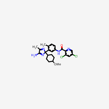 COC1CCC(C2(c3cc(NC(=O)c4ncc(Cl)cc4Cl)ccc3C)N=C(C)C(N)=N2)CC1